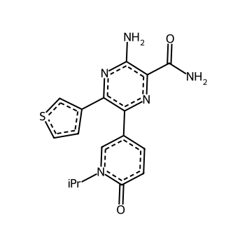 CC(C)n1cc(-c2nc(C(N)=O)c(N)nc2-c2ccsc2)ccc1=O